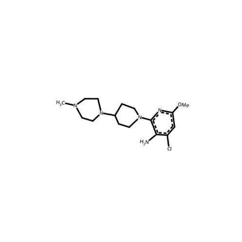 COc1cc(Cl)c(N)c(N2CCC(N3CCN(C)CC3)CC2)n1